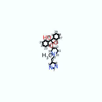 C[N+]1(CCc2cncnc2)CCC[C@@H](OC(=O)C(O)(c2ccccc2)c2ccccc2)C1